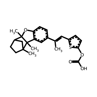 C/C(=C\c1ccc(OC(=O)O)s1)c1ccc2c(c1)C1(C)C3(C)CCC(C3)C1(C)O2